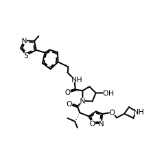 Cc1ncsc1-c1ccc(CCNC(=O)C2CC(O)CN2C(=O)[C@H](c2cc(OCC3CNC3)no2)C(C)C)cc1